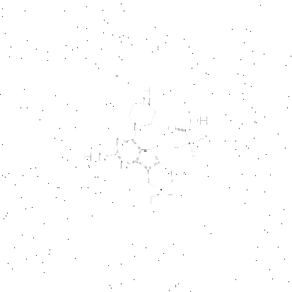 Nc1nc(N2CCNCC2)c2sc3c(c2n1)CC(F)(F)CC3.O=C(O)C(F)(F)F